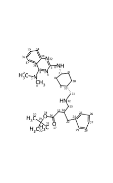 CN(C)c1nc(N[C@H]2CC[C@@H](CNCC(CC(=O)OC(C)(C)C)Cc3ccccc3)CC2)nc2ccccc12